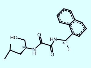 CC(C)C[C@@H](CO)NC(=O)C(=O)N[C@@H](C)c1cccc2ccccc12